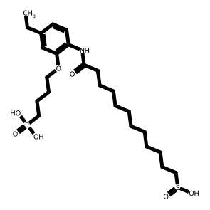 CCc1ccc(NC(=O)CCCCCCCCCCCS(=O)O)c(OCCCCP(=O)(O)O)c1